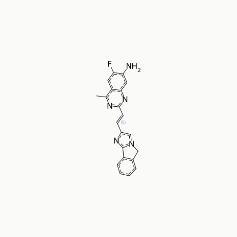 Cc1nc(/C=C/c2cn3c(n2)-c2ccccc2C3)nc2cc(N)c(F)cc12